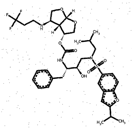 CC(C)CN(C[C@@H](O)[C@H](Cc1ccccc1)NC(=O)O[C@H]1CO[C@H]2OC[C@H](NCCC(F)(F)F)[C@H]21)S(=O)(=O)c1ccc2oc(C(C)C)cc2c1